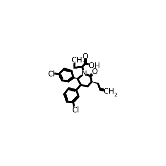 C=CC[C@H]1CC(c2cccc(Cl)c2)[C@@H](c2ccc(Cl)cc2)N(C(CC)C(=O)O)C1=O